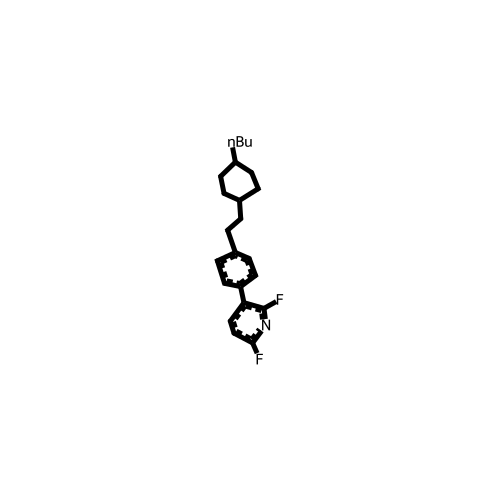 CCCCC1CCC(CCc2ccc(-c3ccc(F)nc3F)cc2)CC1